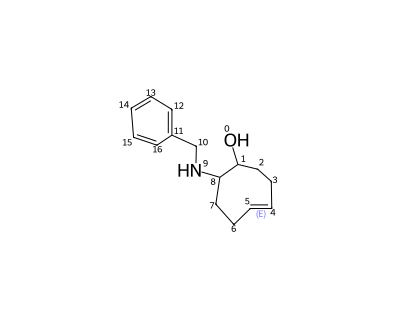 OC1CC/C=C/CCC1NCc1ccccc1